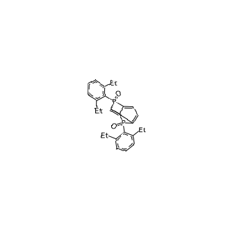 CCc1cccc(CC)c1P1(=O)C2=CC=C3C1=C2P3(=O)c1c(CC)cccc1CC